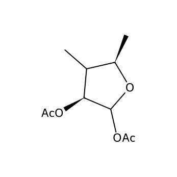 CC(=O)OC1O[C@H](C)C(C)[C@@H]1OC(C)=O